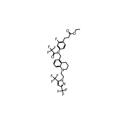 CCOC(=O)CCc1ccc(N(Cc2cccc3c2CCCN3CCn2nc(C(F)(F)F)cc2C(F)(F)F)C(=O)C(F)(F)F)cc1F